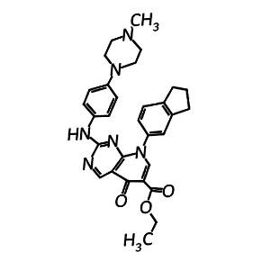 CCOC(=O)c1cn(-c2ccc3c(c2)CCC3)c2nc(Nc3ccc(N4CCN(C)CC4)cc3)ncc2c1=O